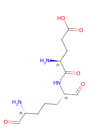 N[C@@H]([C]=O)CCC[C@@H]([C]=O)NC(=O)[C@@H](N)CCC(=O)O